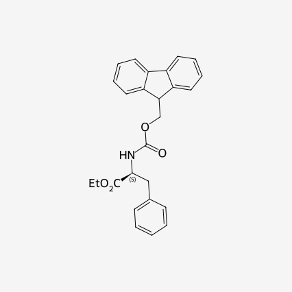 CCOC(=O)[C@H](Cc1ccccc1)NC(=O)OCC1c2ccccc2-c2ccccc21